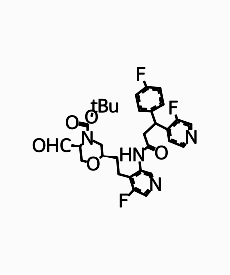 CC(C)(C)OC(=O)N1C[C@@H](CCc2c(F)cncc2NC(=O)CC(c2ccc(F)cc2)c2ccncc2F)OC[C@H]1C=O